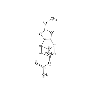 COC1OC2C(O1)C1CC(OC(C)=O)CC2N1C